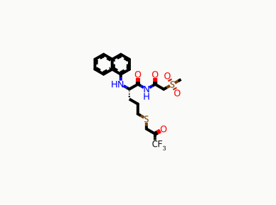 CS(=O)(=O)CC(=O)NC(=O)[C@H](CCCSCC(=O)C(F)(F)F)Nc1cccc2ccccc12